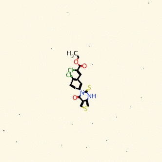 CCOC(=O)/C(Cl)=C/c1cc(-n2c(=S)[nH]c3cscc3c2=O)ccc1Cl